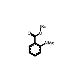 CNc1ccccc1C(=O)OC(C)(C)C